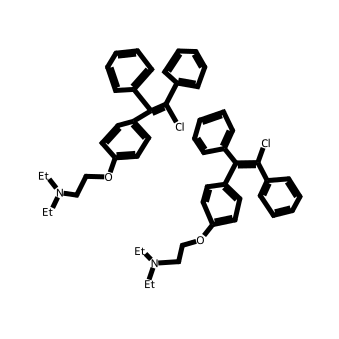 CCN(CC)CCOc1ccc(/C(=C(/Cl)c2ccccc2)c2ccccc2)cc1.CCN(CC)CCOc1ccc(/C(=C(\Cl)c2ccccc2)c2ccccc2)cc1